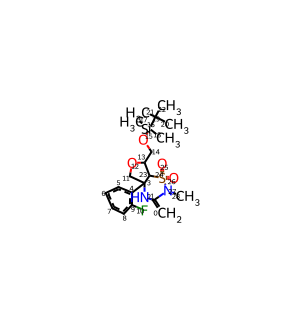 C=C1NC2(c3ccccc3F)COC(CO[Si](C)(C)C(C)(C)C)C2S(=O)(=O)N1C